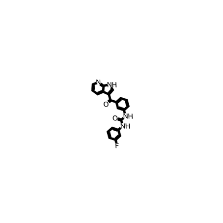 O=C(Nc1cccc(F)c1)Nc1cccc(C(=O)c2c[nH]c3ncccc23)c1